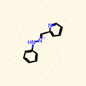 C(=N\Nc1ccccc1)/c1ccccn1